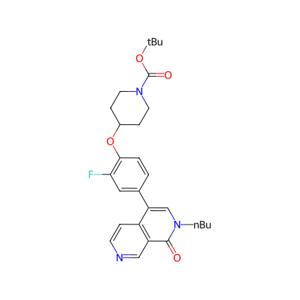 CCCCn1cc(-c2ccc(OC3CCN(C(=O)OC(C)(C)C)CC3)c(F)c2)c2ccncc2c1=O